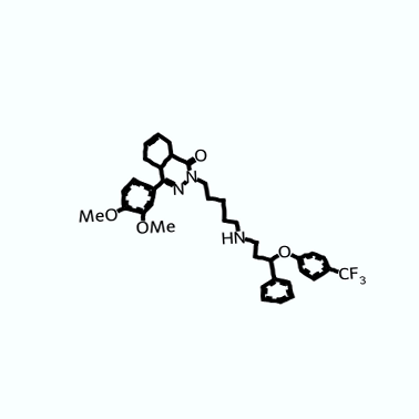 COc1ccc(C2=NN(CCCCCNCCC(Oc3ccc(C(F)(F)F)cc3)c3ccccc3)C(=O)C3CC=CCC23)cc1OC